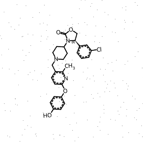 Cc1nc(Oc2ccc(O)cc2)ccc1CN1CCC(N2C(=O)OC[C@H]2c2cccc(Cl)c2)CC1